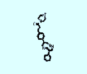 CN1CCN(C(=O)CCc2ccc(-c3cnc4c(-c5ccccc5)cnn4c3)cc2)CC1